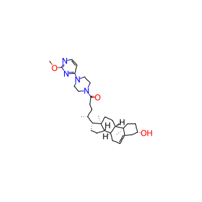 COc1nccc(N2CCN(C(=O)CC[C@@H](C)[C@H]3CC[C@H]4[C@@H]5CC=C6C[C@@H](O)CC[C@]6(C)[C@H]5CC[C@]34C)CC2)n1